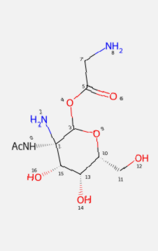 CC(=O)N[C@]1(N)C(OC(=O)CN)O[C@H](CO)[C@H](O)[C@@H]1O